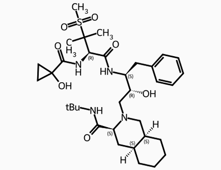 CC(C)(C)NC(=O)[C@@H]1C[C@@H]2CCCC[C@@H]2CN1C[C@@H](O)[C@H](Cc1ccccc1)NC(=O)[C@@H](NC(=O)C1(O)CC1)C(C)(C)S(C)(=O)=O